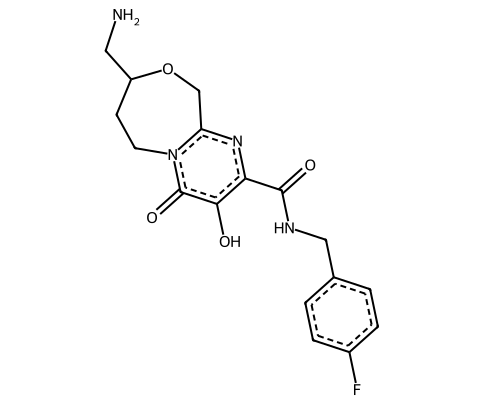 NCC1CCn2c(nc(C(=O)NCc3ccc(F)cc3)c(O)c2=O)CO1